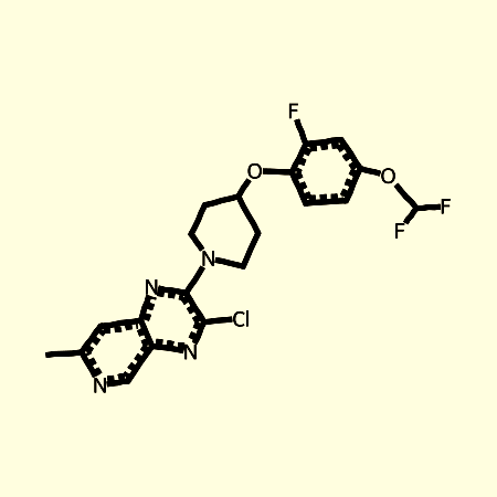 Cc1cc2nc(N3CCC(Oc4ccc(OC(F)F)cc4F)CC3)c(Cl)nc2cn1